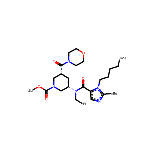 CCCCc1ncc(C(=O)N(CC(C)C)[C@H]2C[C@@H](C(=O)N3CCOCC3)CN(C(=O)OC(C)(C)C)C2)n1CCCCOC